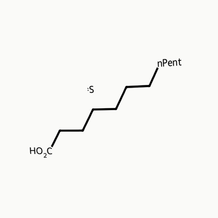 CCCCCCCCCCCC(=O)O.[S]